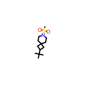 CC(C)(C)C1CC2(CCN(S(C)(=O)=O)CC2)C1